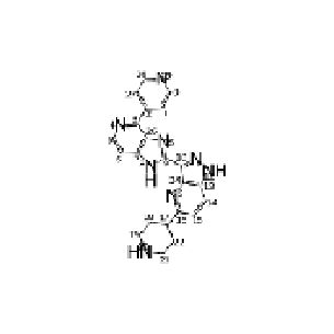 c1cc(-c2nccc3[nH]c(-c4n[nH]c5ccc(C6CCNCC6)nc45)nc23)ccn1